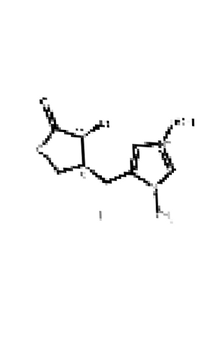 CCCCCCCC[n+]1cc(C[C@H]2COC(=O)[C@H]2CC)n(C)c1.[I-]